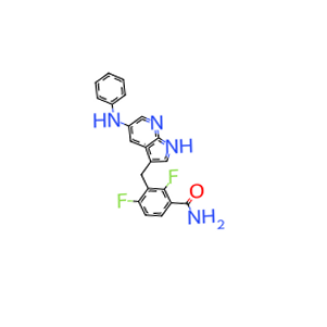 NC(=O)c1ccc(F)c(Cc2c[nH]c3ncc(Nc4ccccc4)cc23)c1F